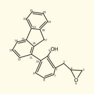 Oc1c(CC2CO2)cccc1-c1cccc2c1Cc1ccccc1-2